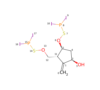 C=C1[C@H](O)C[C@H](OSP(I)I)[C@H]1COSP(I)I